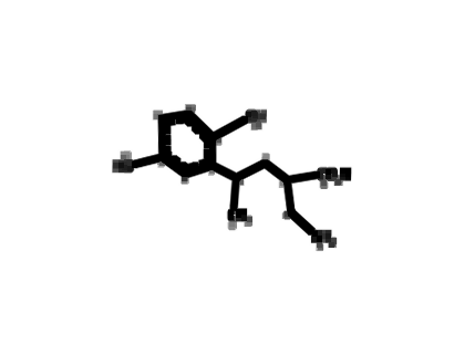 CC(CC(CN)C(=O)O)c1cc(O)ccc1O